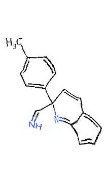 Cc1ccc(C2(C=N)C=CC3=CC=CC3=N2)cc1